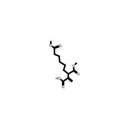 C=C(C(=O)O)C(CCCCCC(=O)OC)C(=O)OC